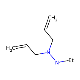 C=CCN(CC=C)[N]CC